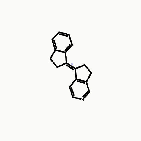 c1ccc2c(c1)CC/C2=C1/CCc2cnccc21